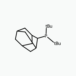 CC(C)(C)P(C1C2CC3CC(C2)CC1C3)C(C)(C)C